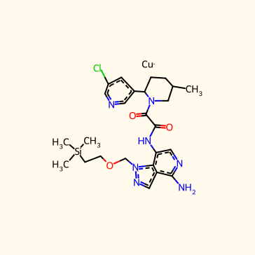 CC1CCC(c2cncc(Cl)c2)N(C(=O)C(=O)Nc2cnc(N)c3cnn(COCC[Si](C)(C)C)c23)C1.[Cu]